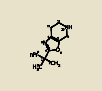 CCCC(C)(C)c1nc2c(o1)CNCC2